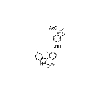 CCOc1nc2ccc(F)cc2n1-c1cccc(CNc2ccc3c(c2)OC(C)[C@H]3OC(C)=O)c1C